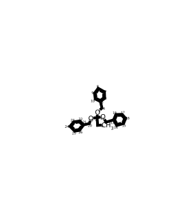 CCC(OCc1ccccc1)(OCc1ccccc1)OCc1ccccc1